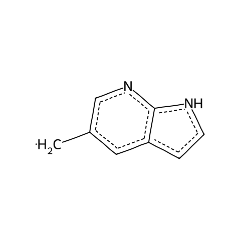 [CH2]c1cnc2[nH]ccc2c1